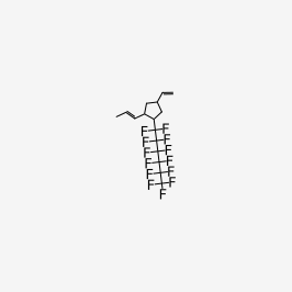 C=CC1CC(C=CC)C(C(F)(F)C(F)(F)C(F)(F)C(F)(F)C(F)(F)C(F)(F)F)C1